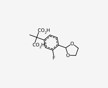 CC(C(=O)O)(C(=O)O)c1ccc(C2OCCO2)c(F)c1